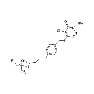 CC(C)C[Si](C)(C)OCCCCc1ccc(CSc2cnn(C(C)(C)C)c(=O)c2Cl)cc1